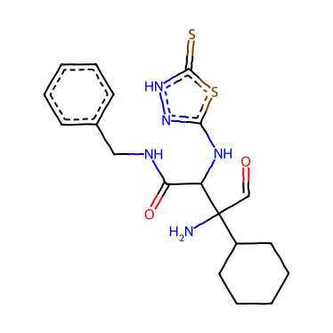 NC(C=O)(C1CCCCC1)C(Nc1n[nH]c(=S)s1)C(=O)NCc1ccccc1